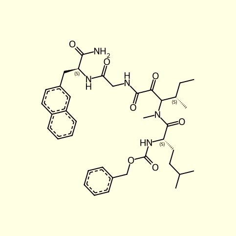 CC[C@H](C)C(C(=O)C(=O)NCC(=O)N[C@@H](Cc1ccc2ccccc2c1)C(N)=O)N(C)C(=O)[C@H](CCC(C)C)NC(=O)OCc1ccccc1